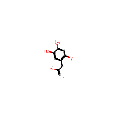 C=C(O)Cc1cc(O)c(O)cc1O